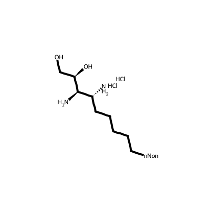 CCCCCCCCCCCCCC[C@@H](N)[C@@H](N)[C@H](O)CO.Cl.Cl